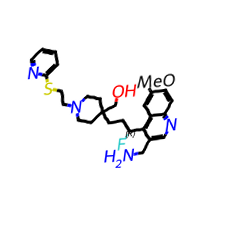 COc1ccc2ncc(CN)c([C@H](F)CCC3(CO)CCN(CCSc4ccccn4)CC3)c2c1